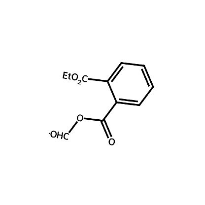 CCOC(=O)c1ccccc1C(=O)O[C]=O